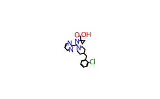 O=C(O)C1(N=C(c2ncccn2)N2CCC(Cc3ccccc3Cl)CC2)CC1